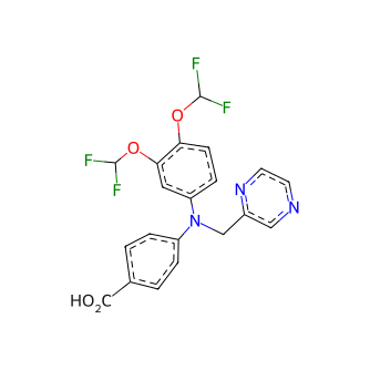 O=C(O)c1ccc(N(Cc2cnccn2)c2ccc(OC(F)F)c(OC(F)F)c2)cc1